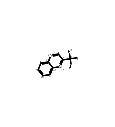 CC(F)(F)c1cnc2ccccc2n1